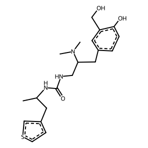 CC(Cc1ccsc1)NC(=O)NCC(Cc1ccc(O)c(CO)c1)N(C)C